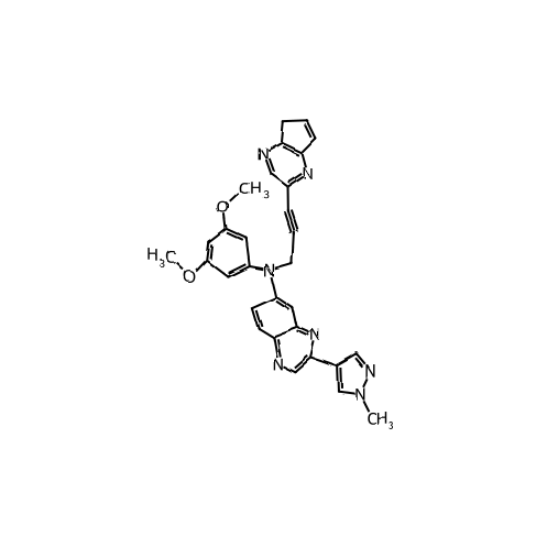 COc1cc(OC)cc(N(CC#Cc2cnc3c(n2)C=CC3)c2ccc3ncc(-c4cnn(C)c4)nc3c2)c1